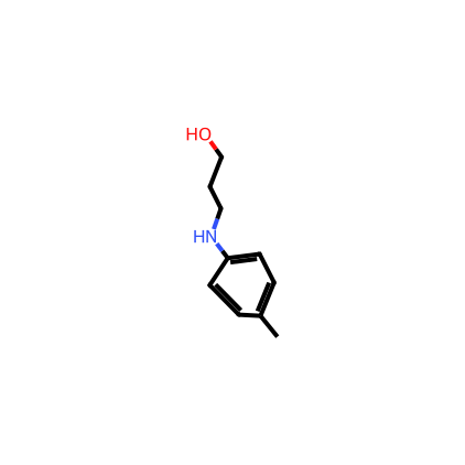 Cc1ccc(NCCCO)cc1